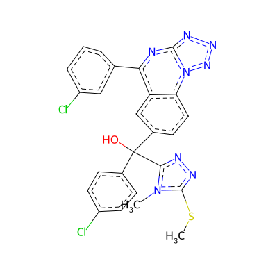 CSc1nnc(C(O)(c2ccc(Cl)cc2)c2ccc3c(c2)c(-c2cccc(Cl)c2)nc2nnnn23)n1C